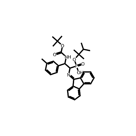 Cc1cccc(C(NC(=O)OC(C)(C)C)C(N=C2c3ccccc3-c3ccccc32)P(=O)(O)OC(C)(C)C(C)C)c1